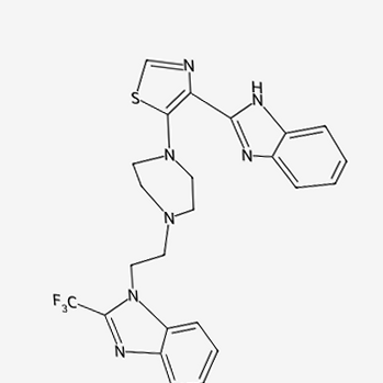 FC(F)(F)c1nc2ccccc2n1CCN1CCN(c2scnc2-c2nc3ccccc3[nH]2)CC1